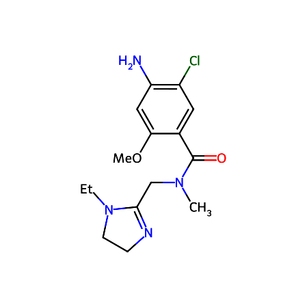 CCN1CCN=C1CN(C)C(=O)c1cc(Cl)c(N)cc1OC